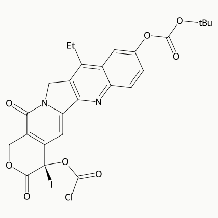 CCc1c2c(nc3ccc(OC(=O)OC(C)(C)C)cc13)-c1cc3c(c(=O)n1C2)COC(=O)[C@@]3(I)OC(=O)Cl